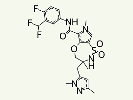 Cc1cc(CC2(C)COc3c(cn(C)c3C(=O)Nc3ccc(F)c(C(F)F)c3)S(=O)(=O)N2)n(C)n1